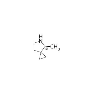 C[C@@H]1NCCC12CC2